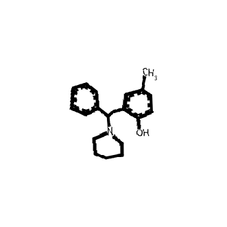 Cc1ccc(O)c(C(c2ccccc2)N2CCCCC2)c1